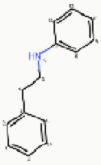 c1ccc(CCNc2ccccc2)cc1